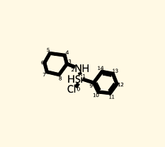 Cl[SiH](NC1CCCCC1)c1ccccc1